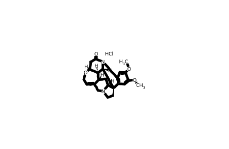 COc1cc2c(cc1OC)[C@@]13CCN4CC5=CCO[C@H]6CC(=O)N2[C@H]1[C@H]6[C@H]5C[C@H]43.Cl